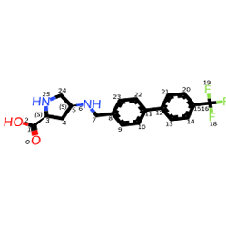 O=C(O)[C@@H]1C[C@H](NCc2ccc(-c3ccc(C(F)(F)F)cc3)cc2)CN1